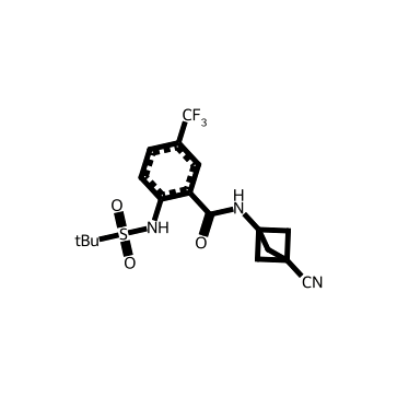 CC(C)(C)S(=O)(=O)Nc1ccc(C(F)(F)F)cc1C(=O)NC12CC(C#N)(C1)C2